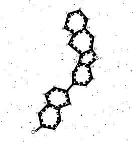 Clc1ccc2cc(-c3ccc4sc5cc6ccccc6cc5c4c3)ccc2c1